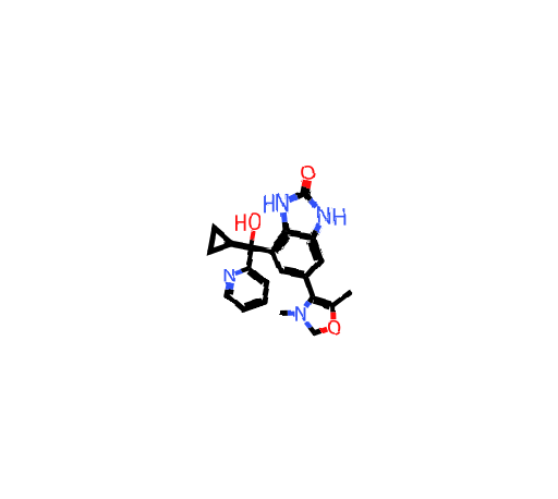 CC1=C(c2cc(C(O)(c3ccccn3)C3CC3)c3[nH]c(=O)[nH]c3c2)N(C)CO1